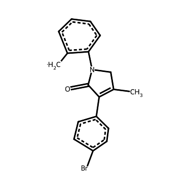 [CH2]c1ccccc1N1CC(C)=C(c2ccc(Br)cc2)C1=O